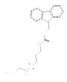 O=C(O)CNS(=O)(=O)CCCNC(=O)OCC1c2ccccc2-c2ccccc21